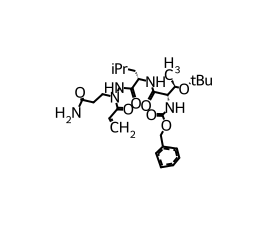 C=CC(=O)N(CCC(N)=O)NC(=O)[C@H](CC(C)C)NC(=O)[C@@H](NC(=O)OCc1ccccc1)[C@@H](C)OC(C)(C)C